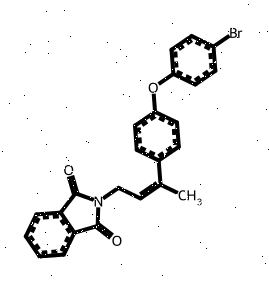 CC(=CCN1C(=O)c2ccccc2C1=O)c1ccc(Oc2ccc(Br)cc2)cc1